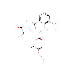 CCOC(=O)C(C)OC(=O)[C@H](C)Nc1c(C(C)C)cccc1C(C)C.NCC(=O)O